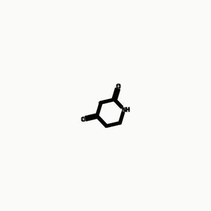 O=C1[CH]C(=O)NCC1